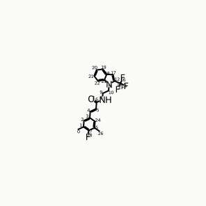 Cc1cc(C=CC(=O)NCCn2c(C(F)(F)F)cc3ccccc32)cc(C)c1F